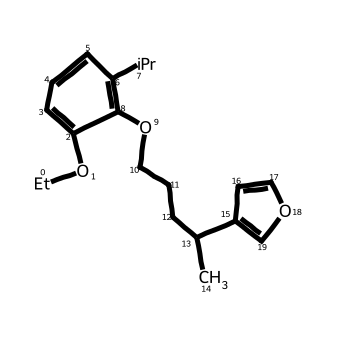 CCOc1cccc(C(C)C)c1OCCCC(C)c1ccoc1